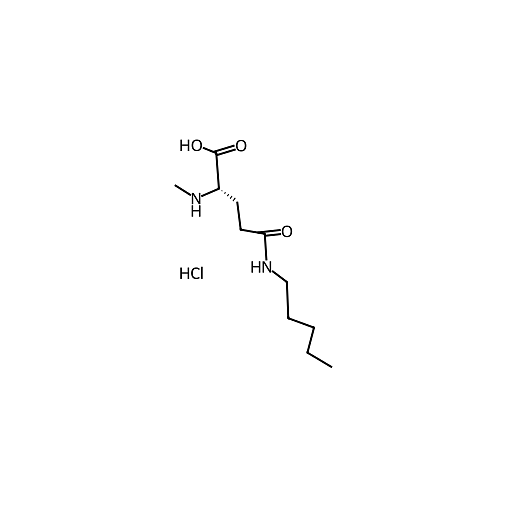 CCCCCNC(=O)CC[C@H](NC)C(=O)O.Cl